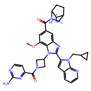 COc1cc(C(=O)N2CC3CCC2[C@@H]3N)cc2nc(-c3cc4cccnc4n3CC3CC3)n(C3CN(C(=O)c4ccnc(N)n4)C3)c12